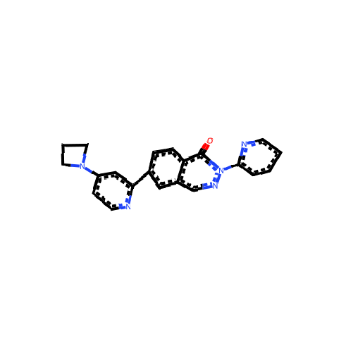 O=c1c2ccc(-c3cc(N4CCC4)ccn3)cc2cnn1-c1ccccn1